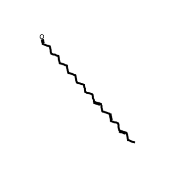 CCC=CCC=CCC=CCCCCCCCCCCCC=O